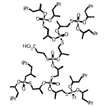 CC(C)CC(C)CP(=O)(OC(C)CC(C)C)SCC(C)OP(=O)(OC(C)CSP(=O)(OC(C)CC(C)C)OC(C)CC(C)C)SCC(C)OP(=O)(OC(C)CSP(=O)(OC(C)CSP(=O)(OC(C)CC(C)C)OC(C)CC(C)C)OC(C)CSP(=O)(OC(C)CC(C)C)OC(C)CC(C)C)SCCC(=O)O